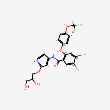 O=C(Nc1ccnc(OCC(O)CO)c1)c1cc(Cl)c(Cl)cc1Oc1ccc(OC(F)(F)F)cc1